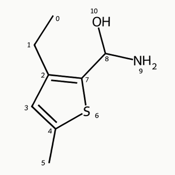 CCc1cc(C)sc1C(N)O